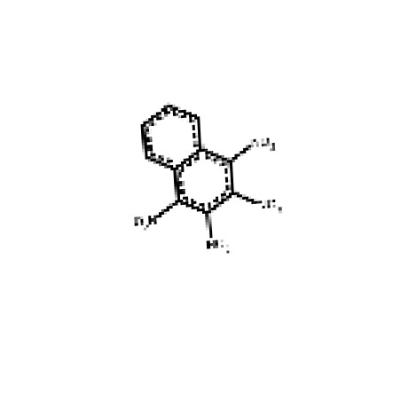 O=[N+]([O-])c1c([N+](=O)[O-])c([N+](=O)[O-])c2ccccc2c1[N+](=O)[O-]